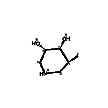 C[C@H]1CNC[C@H](O)[C@@H]1O